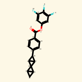 O=C(Oc1cc(F)c(F)c(F)c1)c1ccc(C2C3C2C32C3CC32)cc1